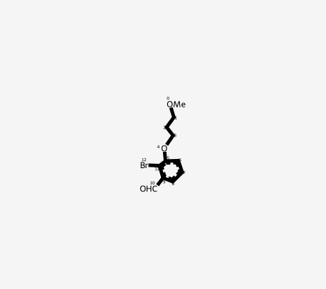 COCCCOc1cccc(C=O)c1Br